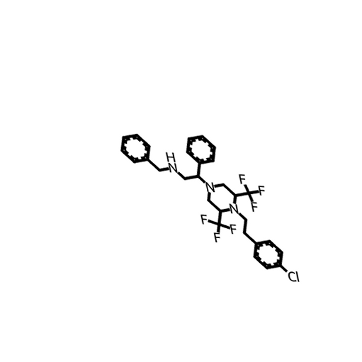 FC(F)(F)C1CN(C(CNCc2ccccc2)c2ccccc2)CC(C(F)(F)F)N1CCc1ccc(Cl)cc1